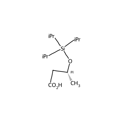 CC(C)[Si](O[C@H](C)CC(=O)O)(C(C)C)C(C)C